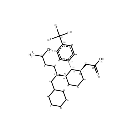 CC(C)CCN(CC1CCCCC1)[C@@H]1CCC[C@H](CC(=O)O)[C@H]1c1ccc(C(F)(F)F)cc1